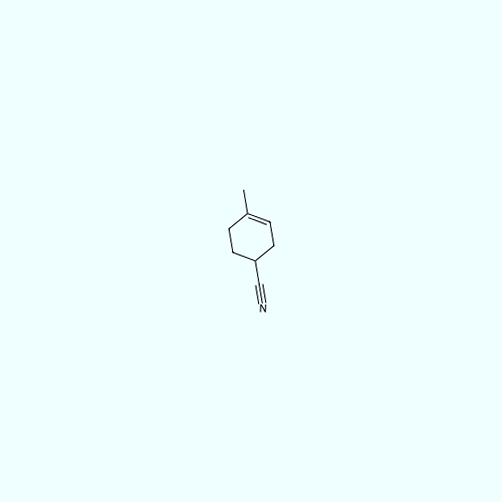 CC1=CCC(C#N)CC1